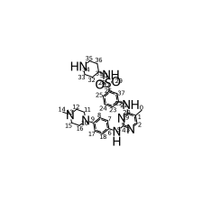 Cc1cnc(Nc2ccc(N3CCN(C)CC3)cc2)nc1Nc1cccc(S(=O)(=O)NC2CCNCC2)c1